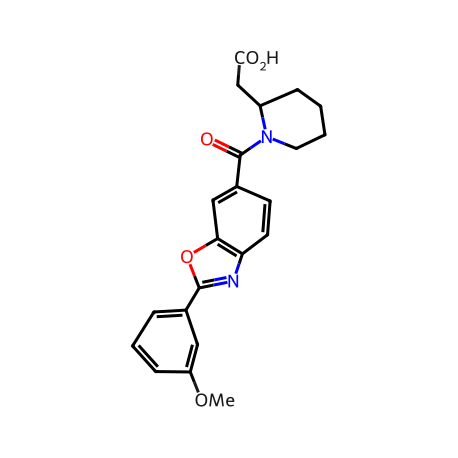 COc1cccc(-c2nc3ccc(C(=O)N4CCCCC4CC(=O)O)cc3o2)c1